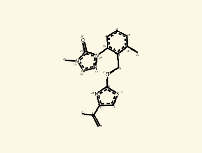 C=C(C)c1csc(OCc2c(C)cccc2-n2nnn(C)c2=O)n1